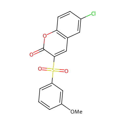 COc1cccc(S(=O)(=O)c2cc3cc(Cl)ccc3oc2=O)c1